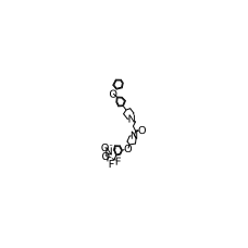 O=C(CCN1CCC(c2ccc(Oc3ccccc3)cc2)CC1)N1CCC(Oc2ccc([N+](=O)[O-])c(C(F)(F)F)c2)CC1